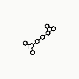 c1ccc(-c2cc(-c3ccc(-c4ccc(-c5ccc6c7ccccc7c7ccccc7c6c5)cc4)cc3)cc(-c3ccccc3)n2)cc1